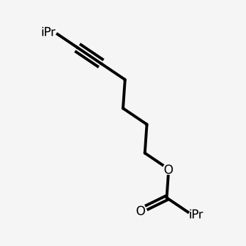 CC(C)C#CCCCCOC(=O)C(C)C